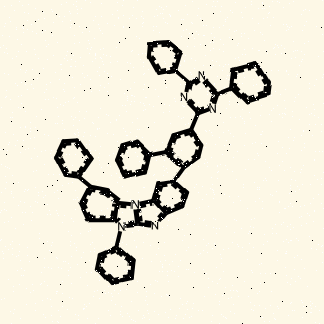 c1ccc(-c2ccc3c(c2)n2c4cc(-c5ccc(-c6nc(-c7ccccc7)nc(-c7ccccc7)n6)cc5-c5ccccc5)ccc4nc2n3-c2ccccc2)cc1